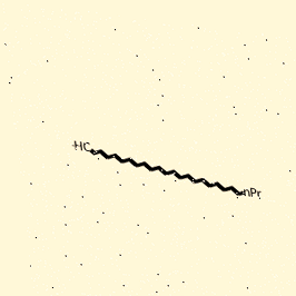 [CH]=CC=CC=CC=CC=CC=CC=CC=CC=CC=CC=CCCC